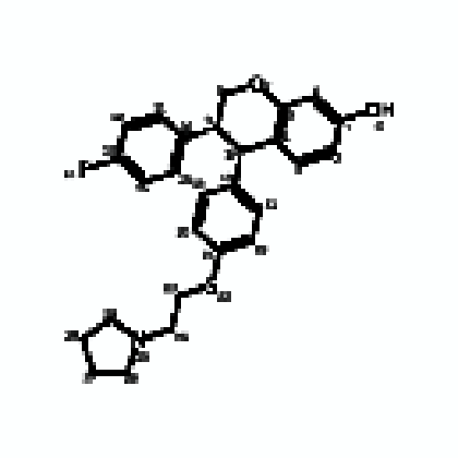 Oc1ccc2c(c1)OC[C@H](c1ccc(F)cc1)[C@@H]2c1ccc(SCCN2CCCC2)cc1